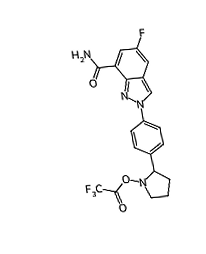 NC(=O)c1cc(F)cc2cn(-c3ccc(C4CCCN4OC(=O)C(F)(F)F)cc3)nc12